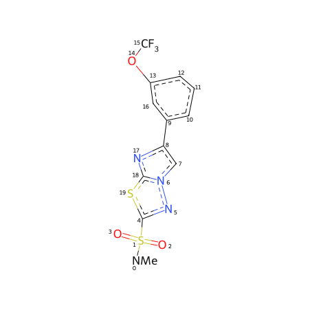 CNS(=O)(=O)c1nn2cc(-c3cccc(OC(F)(F)F)c3)nc2s1